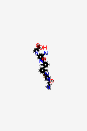 Cc1c(-c2nc3cc(CN4CC[C@@H](C(=O)O)C4)cc(C#N)c3o2)cccc1-c1cccc(-c2nc3c(s2)CN(C(=O)CCN(C)C)C3)c1C